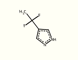 CC(F)(F)c1cn[nH]c1